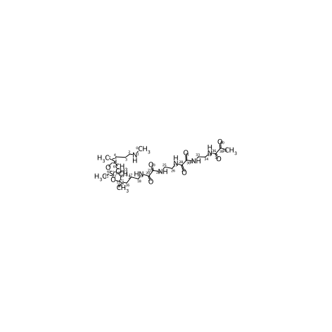 CNCCC[Si](C)(C)O[Si](C)(C)O[Si](C)(C)CCCNC(=O)C(=O)NCCNC(=O)C(=O)NCCNC(=O)C(C)=O